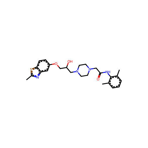 Cc1nc2cc(OCC(O)CN3CCN(CC(=O)Nc4c(C)cccc4C)CC3)ccc2s1